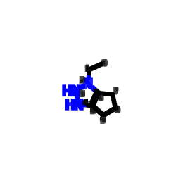 CCN1NNC2=C1CCC2